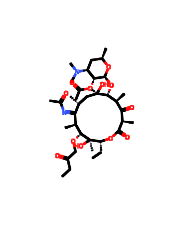 CCC(=O)CO[C@@H]1[C@@H](C)/C(=N/C(C)=O)[C@H](C)C[C@@](C)(O)[C@H](O[C@@H]2O[C@H](C)C[C@H](N(C)C)[C@H]2OC(C)=O)[C@@H](C)C(=O)[C@@H](C)C(=O)O[C@H](CC)[C@@]1(C)O